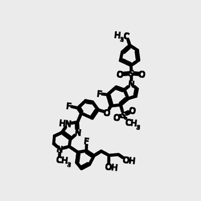 Cc1ccc(S(=O)(=O)n2ccc3c(S(C)(=O)=O)c(Oc4ccc(F)c(-c5nc6c([nH]5)CCN(C)C6c5cccc(CC(O)CO)c5F)c4)c(F)cc32)cc1